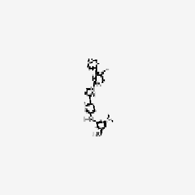 CN(C)c1cc(O)cc(Nc2ccc(-c3ccn(-c4ncc(F)c(N5CCOCC5)n4)n3)nc2)c1